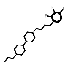 CCC[C@H]1CC[C@H]([C@H]2CC[C@H](CCCCc3ccc(I)c(F)c3F)CC2)CC1